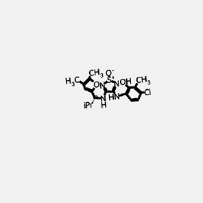 Cc1cc([C@H](Nc2n[s+]([O-])nc2Nc2ccc(Cl)c(C)c2O)C(C)C)oc1C